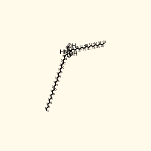 CCCCCCCCCCCCCCCCCCCCCCCCCCC(=O)N[C@@H](CO)[C@H](O)CCCCCCCCCCCCCCC